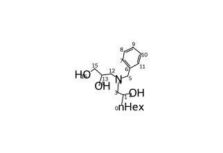 CCCCCCC(O)CN(Cc1ccccc1)CC(O)CO